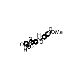 COC(=O)N1CCC2(CCC(C(=O)Nc3ccc4c(c3)C(=O)N(C3CCC(=O)NC3=O)C4=O)CC2)CC1